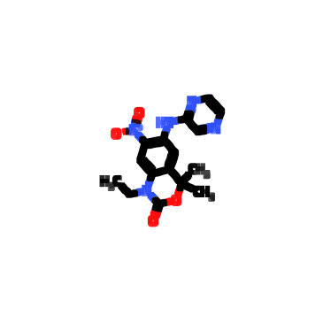 CCN1C(=O)OC(C)(C)c2cc(Nc3cnccn3)c([N+](=O)[O-])cc21